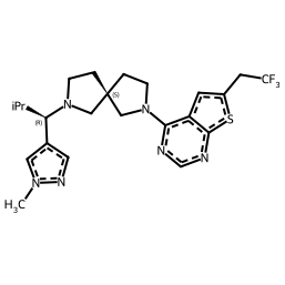 CC(C)[C@H](c1cnn(C)c1)N1CC[C@]2(CCN(c3ncnc4sc(CC(F)(F)F)cc34)C2)C1